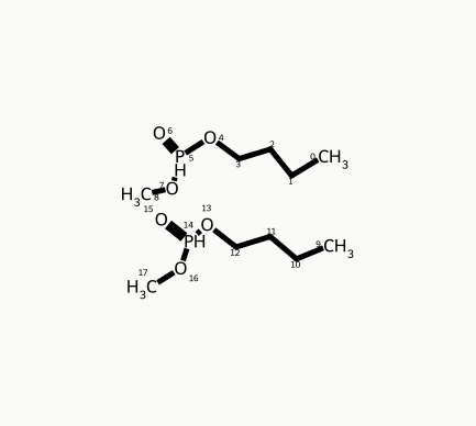 CCCCO[PH](=O)OC.CCCCO[PH](=O)OC